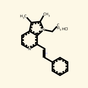 CCn1c(C)c(C)c2ccnc(/C=C/c3ccccc3)c21.Cl